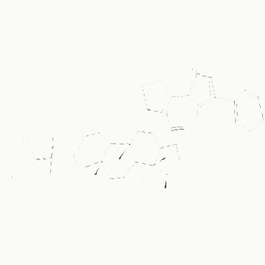 CCCC[C@H](O)C(C)(C)[C@@H]1CC[C@]2(C)[C@H](CC[C@@H]3[C@H]4[C@H](C(C)C)CC[C@]4(C(=O)N4CCCC4c4ncc(-c5ccccc5)[nH]4)CC[C@]32C)C1